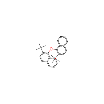 CC(C)(C)c1ccc2ccccc2c1Oc1c(C(C)(C)C)ccc2ccccc12